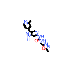 Cc1cc(-c2n[nH]c3cc(NC(=O)NCc4nnc(C)o4)ncc23)ccn1